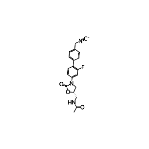 [C-]#[N+]Cc1ccc(-c2ccc(N3C[C@H](CNC(C)=O)OC3=O)cc2F)cc1